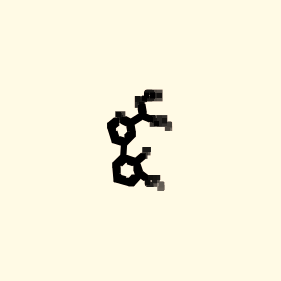 NC(=NO)c1cc(-c2cccc(C(F)(F)F)c2F)ccn1